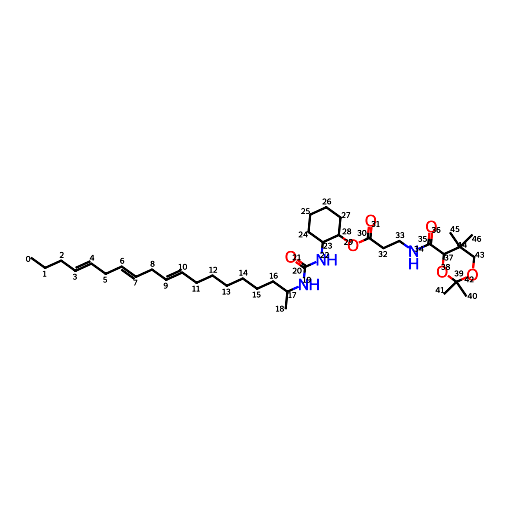 CCCC=CCC=CCC=CCCCCCCC(C)NC(=O)NC1CCCCC1OC(=O)CCNC(=O)C1OC(C)(C)OCC1(C)C